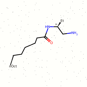 CCCCCCCCCCCCCC(=O)N[C@@H](CC)CN